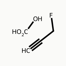 C#CCF.O=C(O)O